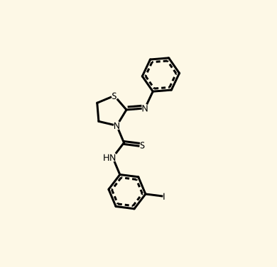 S=C(Nc1cccc(I)c1)N1CCSC1=Nc1ccccc1